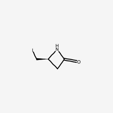 O=C1C[C@@H](CI)N1